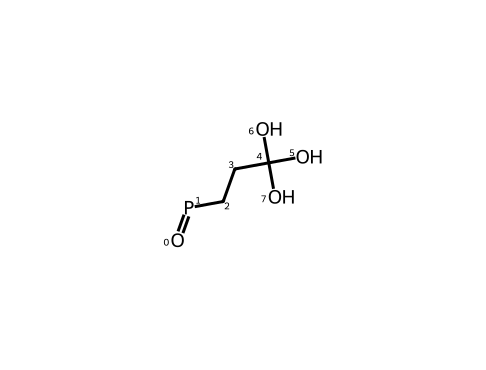 O=PCCC(O)(O)O